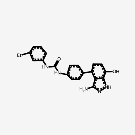 CCc1cccc(NC(=O)Nc2ccc(-c3ccc(O)c4[nH]nc(N)c34)cc2)c1